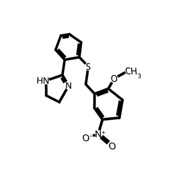 COc1ccc([N+](=O)[O-])cc1CSc1ccccc1C1=NCCN1